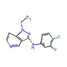 Fc1cc(Nc2nn(CC(F)(F)F)c3ccncc23)ccc1Cl